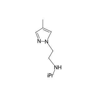 Cc1cnn(CCNC(C)C)c1